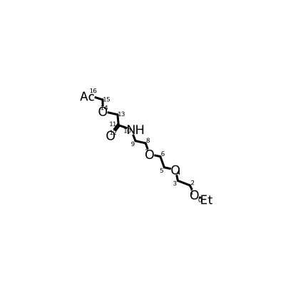 CCOCCOCCOCCNC(=O)COCC(C)=O